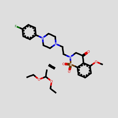 C=C.CCOC(C)OCC.COc1cccc2c1C(=O)CN(CCN1CCN(c3ccc(F)cc3)CC1)S2(=O)=O